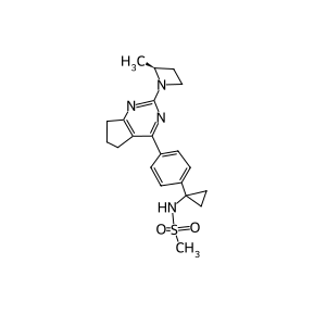 C[C@H]1CCN1c1nc2c(c(-c3ccc(C4(NS(C)(=O)=O)CC4)cc3)n1)CCC2